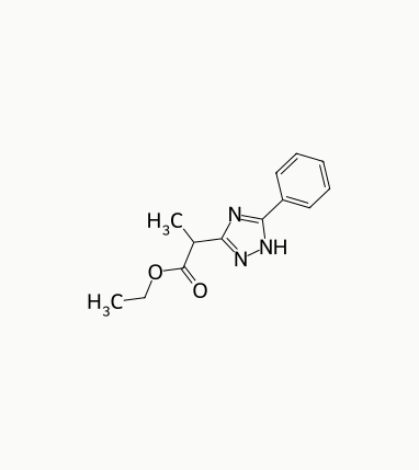 CCOC(=O)C(C)c1n[nH]c(-c2ccccc2)n1